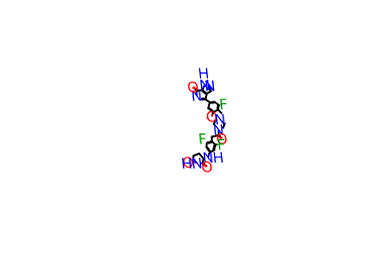 COc1cc(-c2cn(C)c(=O)c3[nH]ncc23)cc(F)c1CN1CCN(C(=O)Cc2c(F)cc(NC3CCC(=O)NC3=O)cc2F)CC1